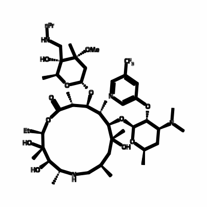 CCCNC[C@]1(O)[C@H](C)O[C@@H](O[C@H]2[C@H](C)[C@@H](O[C@@H]3O[C@H](C)C[C@H](N(C)C)[C@H]3Oc3cncc(C(F)(F)F)c3)[C@](C)(O)C[C@@H](C)CN[C@H](C)[C@@H](O)[C@](C)(O)[C@@H](CC)OC(=O)[C@@H]2C)C[C@@]1(C)OC